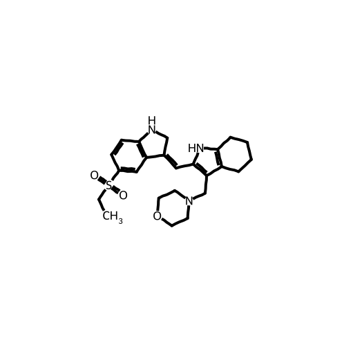 CCS(=O)(=O)c1ccc2c(c1)C(=Cc1[nH]c3c(c1CN1CCOCC1)CCCC3)CN2